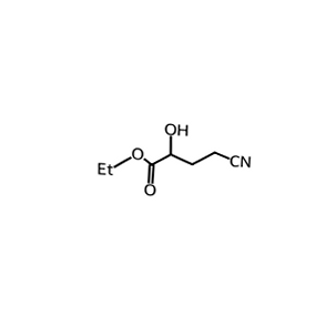 CCOC(=O)C(O)CCC#N